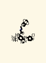 [2H]C([2H])([2H])Oc1cc2ncnc(Nc3ccc(F)c(Cl)c3)c2cc1NC(=O)/C=C/Cn1cc2c(c1)OCCO2